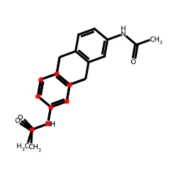 CC(=O)Nc1ccc2c(c1)C1c3cc(NC(C)=O)ccc3C2c2ccc(NC(C)=O)cc21